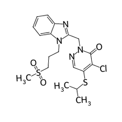 CC(C)Sc1cnn(Cc2nc3ccccc3n2CCCS(C)(=O)=O)c(=O)c1Cl